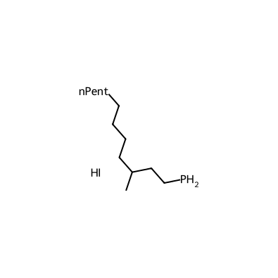 CCCCCCCCCC(C)CCP.I